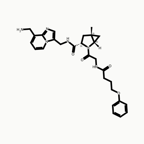 C[C@@]12C[C@@H]1N(C(=O)CNC(=O)CCCOc1ccccc1)[C@H](C(=O)NCc1cnc3c(CN)cccn13)C2